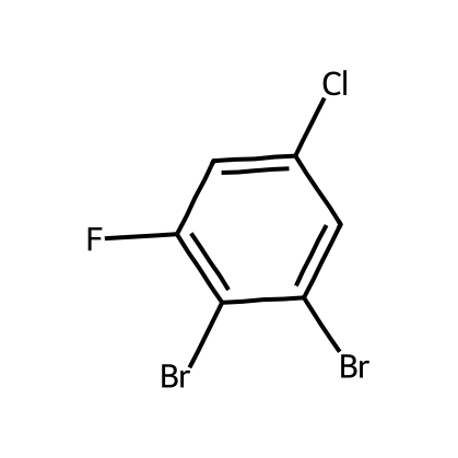 Fc1cc(Cl)cc(Br)c1Br